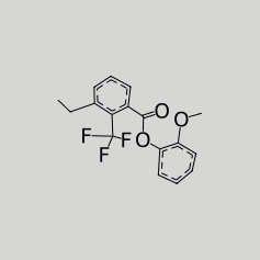 CCc1cccc(C(=O)Oc2ccccc2OC)c1C(F)(F)F